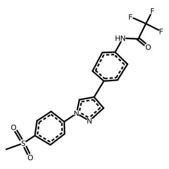 CS(=O)(=O)c1ccc(-n2cc(-c3ccc(NC(=O)C(F)(F)F)cc3)cn2)cc1